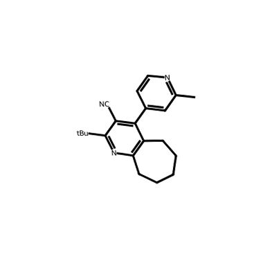 Cc1cc(-c2c(C#N)c(C(C)(C)C)nc3c2CCCCC3)ccn1